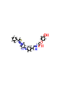 Oc1ccc(OC[C@@H](O)CNCCc2ccc(NC3CCN(c4nc(-c5ccccc5)cs4)CC3)cc2)cc1